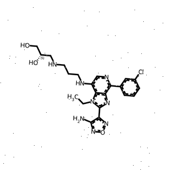 CCn1c(-c2nonc2N)nc2c(-c3cccc(Cl)c3)ncc(NCCCNC[C@H](O)CO)c21